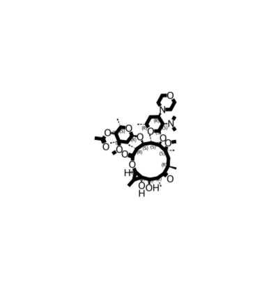 CO[C@]1(C)C[C@H](O[C@H]2[C@H](C)[C@@H](O[C@@H]3O[C@H](C)C[C@@H](N4CCOCC4)[C@@H]3N(C)C)[C@@](C)(OC)C[C@@H](C)C(=O)[C@H](C)[C@@H](O)[C@@]3(O)C(C)[C@H]3OC(=O)[C@@H]2C)O[C@@H](C)[C@@H]1OC(C)=O